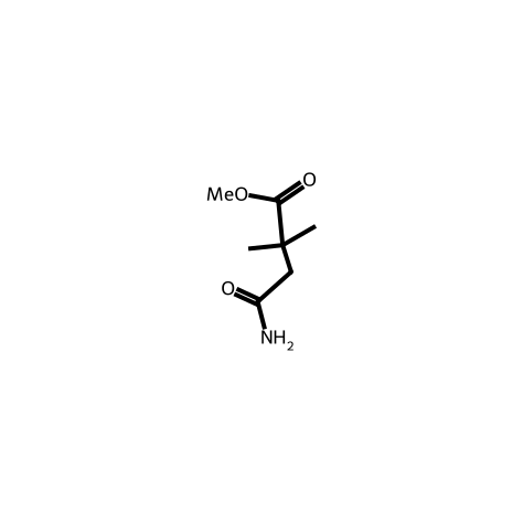 COC(=O)C(C)(C)CC(N)=O